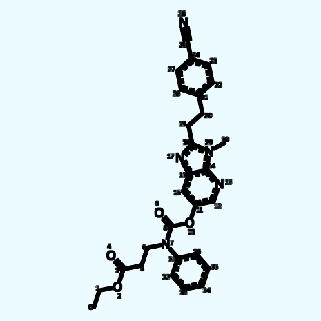 CCOC(=O)CCN(C(=O)Oc1cnc2c(c1)nc(CCc1ccc(C#N)cc1)n2C)c1ccccc1